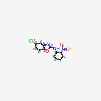 O=[N+]([O-])c1ccccc1Nc1nc2cc(Cl)ccc2o1